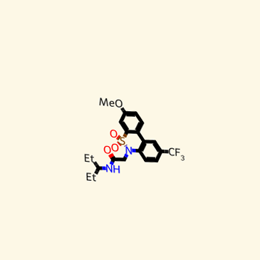 CCC(CC)NC(=O)CN1c2ccc(C(F)(F)F)cc2-c2ccc(OC)cc2S1(=O)=O